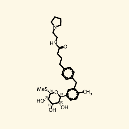 CS[C@H]1O[C@@H](c2ccc(C)c(Cc3ccc(CCCC(=O)NCCN4CCCC4)cc3)c2)[C@H](O)[C@@H](O)[C@@H]1O